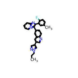 CCCn1cc(-c2cnc3ccc(-c4c(-c5cc(C)ccc5F)nc5ccccn45)cc3c2)cn1